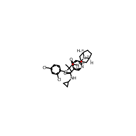 CC(C)(Oc1ccc(Cl)cc1Cl)C(=O)N[C@H]1C[C@H]2CC[C@@H](C1)N2c1ccc(C(=O)NC2CC2)cn1